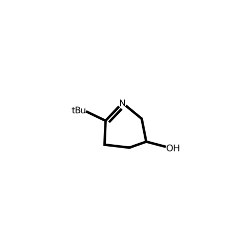 CC(C)(C)C1=NCC(O)CC1